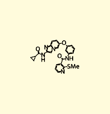 CSc1ncccc1C(=O)Nc1cccc(Oc2ccc3nc(NC(=O)C4CC4)cn3c2)c1